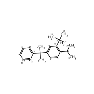 CC(C)c1ccc(C(C)(C)c2cccnn2)cc1C(C)(C)C